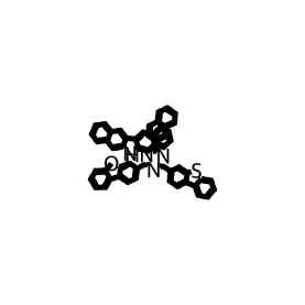 c1ccc2cc(C3N=C(c4ccc5c(c4)sc4ccccc45)N=C(c4ccc5c(oc6ccccc65)c4-n4c5cc6ccccc6cc5c5cc6ccccc6cc54)N3)ccc2c1